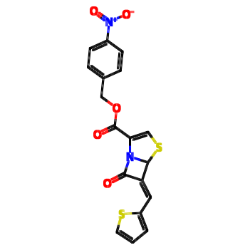 O=C(OCc1ccc([N+](=O)[O-])cc1)C1=CSC2C(=Cc3cccs3)C(=O)N12